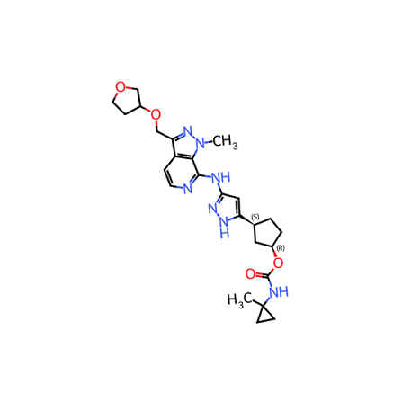 Cn1nc(COC2CCOC2)c2ccnc(Nc3cc([C@H]4CC[C@@H](OC(=O)NC5(C)CC5)C4)[nH]n3)c21